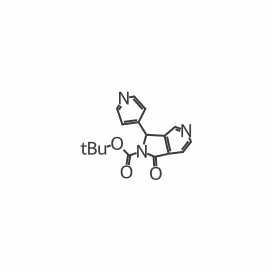 CC(C)(C)OC(=O)N1C(=O)c2ccncc2C1c1ccncc1